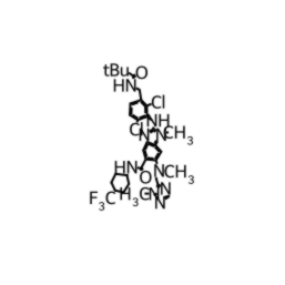 CN(Cc1ncnn1C)c1cc2c(cc1C(=O)N[C@H]1CC[C@H](C(F)(F)F)CC1)nc(Nc1c(Cl)ccc(CNC(=O)C(C)(C)C)c1Cl)n2C